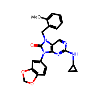 COc1ccccc1Cn1c(=O)n(-c2ccc3c(c2)OCO3)c2nc(NC3CC3)ncc21